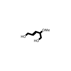 COC(C=CCO)CO